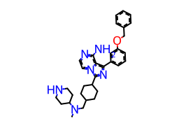 CN(CC1CCC(c2nc(-c3cccc(OCc4ccccc4)c3)c3c(N)nccn23)CC1)C1CCNCC1